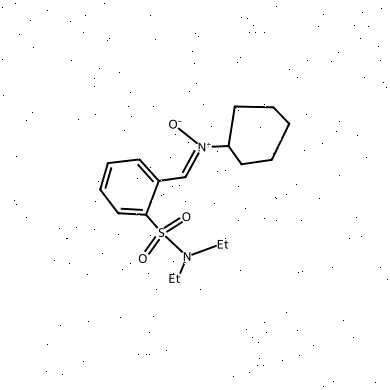 CCN(CC)S(=O)(=O)c1ccccc1C=[N+]([O-])C1CCCCC1